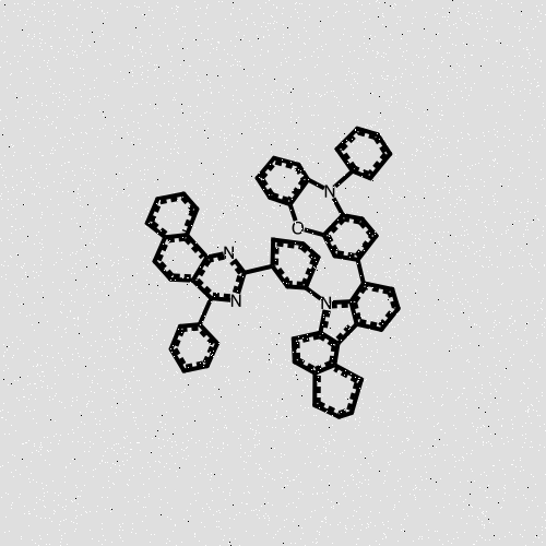 c1ccc(-c2nc(-c3cccc(-n4c5ccc6ccccc6c5c5cccc(-c6ccc7c(c6)Oc6ccccc6N7c6ccccc6)c54)c3)nc3c2ccc2ccccc23)cc1